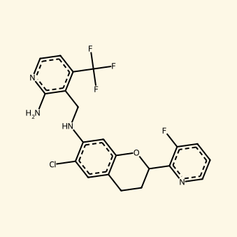 Nc1nccc(C(F)(F)F)c1CNc1cc2c(cc1Cl)CCC(c1ncccc1F)O2